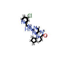 CCC1C(=O)N(C)c2cnc(N/N=C/c3cc(Cl)ccn3)nc2N1C1CCCC1